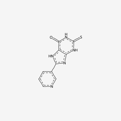 O=c1[nH]c(=S)[nH]c2nc(-c3cccnc3)[nH]c12